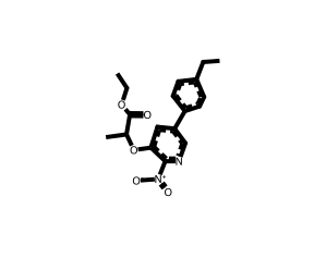 CCOC(=O)C(C)Oc1cc(-c2ccc(CC)cc2)cnc1[N+](=O)[O-]